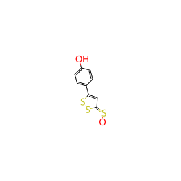 O=S=c1cc(-c2ccc(O)cc2)ss1